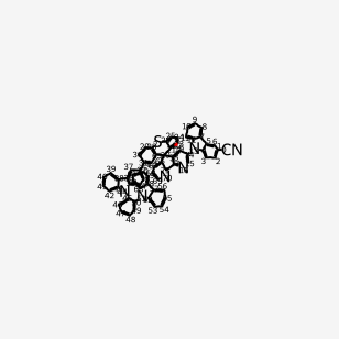 N#Cc1ccc2c(c1)c1ccccc1n2-c1cnc2c(c1)C1(c3ccccc3Sc3ccc(-c4ccc5c(c4)c4ccccc4n5-c4ccccc4-n4c5ccccc5c5ccccc54)cc31)c1cccnc1-2